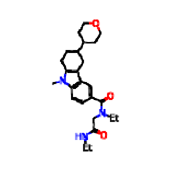 CCNC(=O)CN(CC)C(=O)c1ccc2c(c1)c1c(n2C)CCC(C2CCOCC2)C1